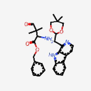 CC(C)(C=O)C(N)C(=O)OCc1ccccc1.CC1(C)COC(Cc2nccc3c2[nH]c2ccccc23)OC1